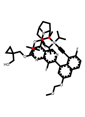 COCOc1cc(-c2ncc3c(N4CC5CCC(C4)N5C(=O)OC(C)(C)C)nc(OCC4(CO)CC4)nc3c2F)c2c(C#C[Si](C(C)C)(C(C)C)C(C)C)c(F)ccc2c1